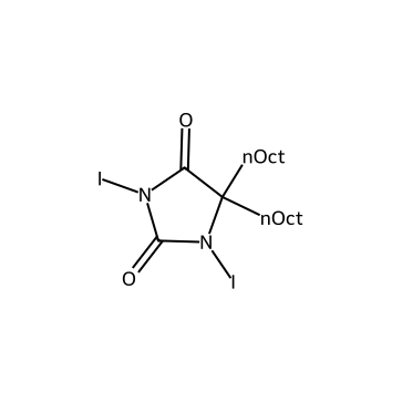 CCCCCCCCC1(CCCCCCCC)C(=O)N(I)C(=O)N1I